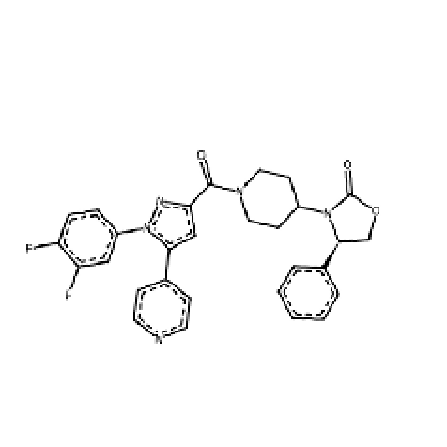 O=C(c1cc(-c2ccncc2)n(-c2ccc(F)c(F)c2)n1)N1CCC(N2C(=O)OC[C@H]2c2ccccc2)CC1